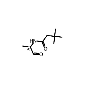 C[C@H](C=O)NC(=O)CC(C)(C)C